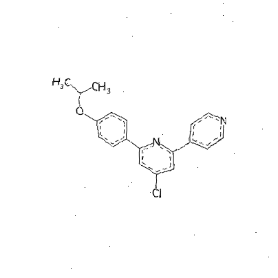 CC(C)Oc1ccc(-c2cc(Cl)cc(-c3ccncc3)n2)cc1